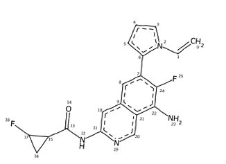 C=Cn1cccc1-c1cc2cc(NC(=O)C3CC3F)ncc2c(N)c1F